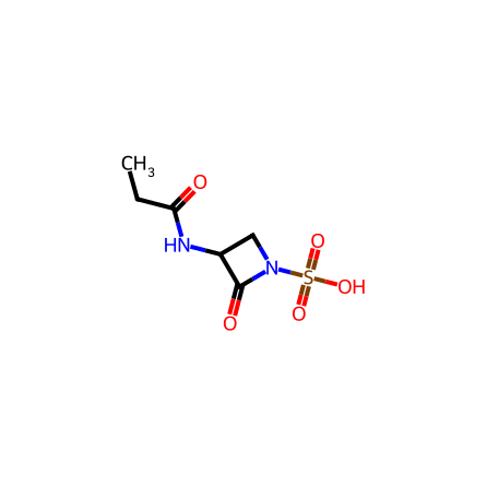 CCC(=O)NC1CN(S(=O)(=O)O)C1=O